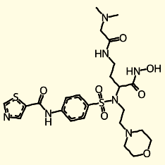 CN(C)CC(=O)NCCC(C(=O)NO)N(CCN1CCOCC1)S(=O)(=O)c1ccc(NC(=O)c2cncs2)cc1